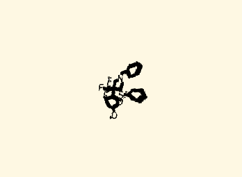 COc1ccc(C2(C(F)(F)F)CN(Cc3ccccc3)CC2[S+]([O-])c2ccccc2)cc1